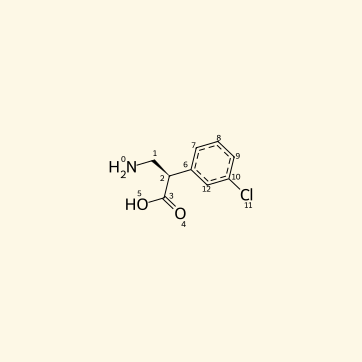 NC[C@H](C(=O)O)c1cccc(Cl)c1